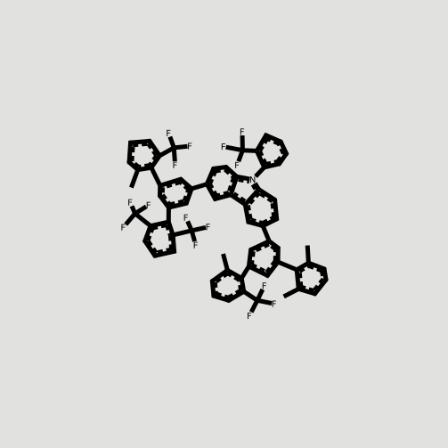 Cc1cccc(C)c1-c1cc(-c2ccc3c(c2)c2cc(-c4cc(-c5c(C)cccc5C(F)(F)F)cc(-c5c(C(F)(F)F)cccc5C(F)(F)F)c4)ccc2n3-c2ccccc2C(F)(F)F)cc(-c2c(C)cccc2C(F)(F)F)c1